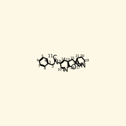 [11CH3]N(Cc1ccccc1)c1cnc2c(c1)CC1(CN3CCC1CC3)O2